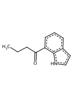 CCCC(=O)c1cccc2cc[nH]c12